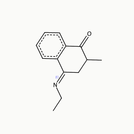 CC/N=C1\CC(C)C(=O)c2ccccc21